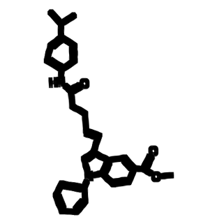 COC(=O)c1ccc2c(c1)c(/C=C/CCC(=O)Nc1ccc(C(C)C)cc1)cn2-c1ccccc1